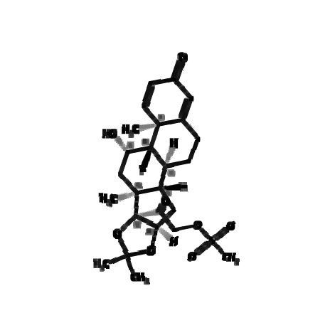 CC1(C)O[C@@H]2C[C@H]3[C@@H]4CCC5=CC(=O)C=C[C@]5(C)[C@@]4(F)[C@@H](O)C[C@]3(C)[C@]2(C(=O)COS(C)(=O)=O)O1